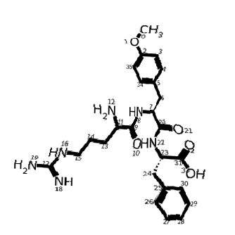 COc1ccc(C[C@H](NC(=O)C(N)CCCNC(=N)N)C(=O)N[C@@H](Cc2ccccc2)C(=O)O)cc1